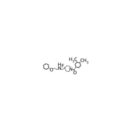 Cc1ccc(C(=O)N2CCC(F)(CNCCOc3ccccc3)CC2)cc1C